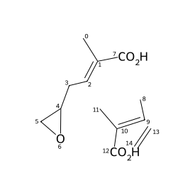 C/C(=C\CC1CO1)C(=O)O.C/C=C(\C)C(=O)O.C=C